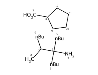 CCCCC(C)C(N)(CCCC)CCCC.O=C(O)C1CCCC1